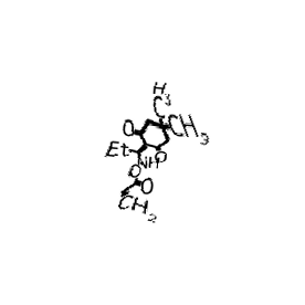 C=CC(=O)ONC(CC)=C1C(=O)CC(C)(C)CC1=O